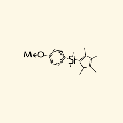 COc1ccc([Si](C)(C)C2=C(C)C(C)=C(C)C2C)cc1